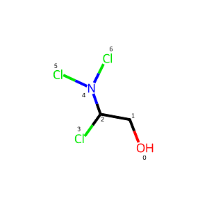 OCC(Cl)N(Cl)Cl